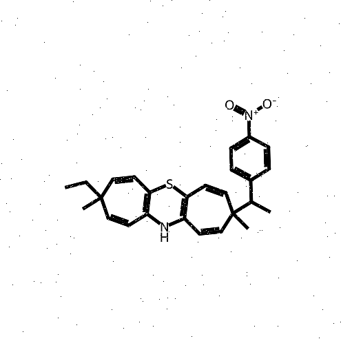 CCC1(C)C=CC2=C(C=C1)SC1=C(C=CC(C)(C(C)c3ccc([N+](=O)[O-])cc3)C=C1)N2